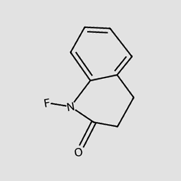 O=C1CCc2ccccc2N1F